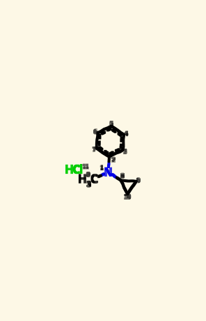 CN(c1ccccc1)C1CC1.Cl